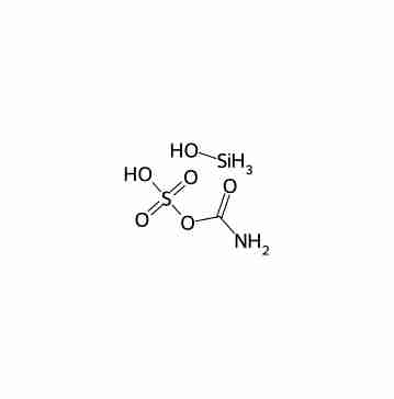 NC(=O)OS(=O)(=O)O.O[SiH3]